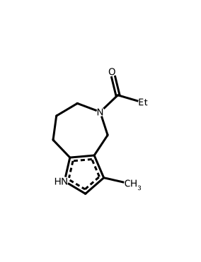 CCC(=O)N1CCCc2[nH]cc(C)c2C1